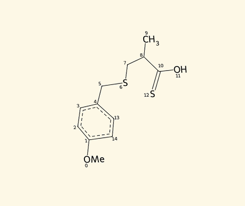 COc1ccc(CSCC(C)C(O)=S)cc1